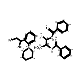 CC(C)CC(N)c1ccccc1N1CCCCC1.O=C(OC(C(=O)O)C(OC(=O)c1ccccc1)C(=O)O)c1ccccc1